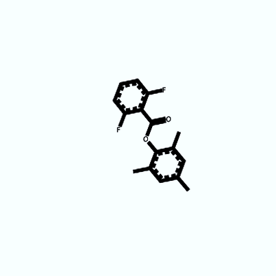 Cc1cc(C)c(OC(=O)c2c(F)cccc2F)c(C)c1